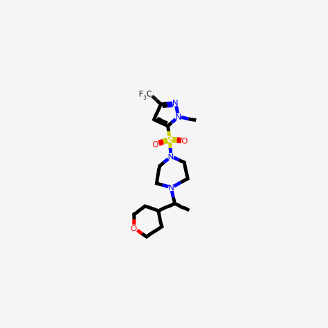 CC(C1CCOCC1)N1CCN(S(=O)(=O)c2cc(C(F)(F)F)nn2C)CC1